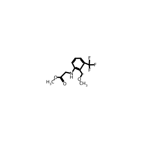 CO[C]c1c(NCC(=O)OC)cccc1C(F)(F)F